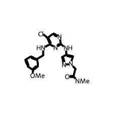 CNC(=O)Cn1cc(Nc2ncc(Cl)c(NCc3cccc(OC)c3)n2)cn1